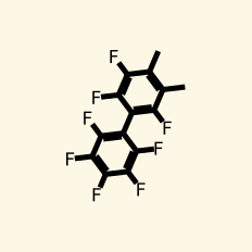 Cc1c(C)c(F)c(-c2c(F)c(F)c(F)c(F)c2F)c(F)c1F